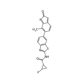 Cc1c(-c2ccc3nc(NC(=O)C4CC4F)sc3c2)ccc2c1=NC(=O)C=2